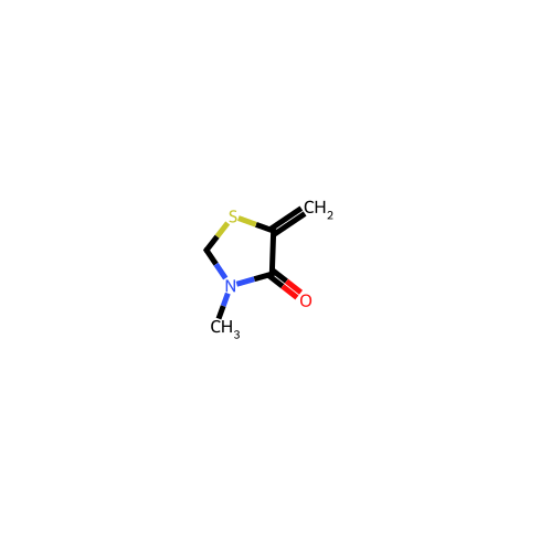 C=C1SCN(C)C1=O